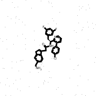 NCc1ccc2c(c1)CC=C2CC(=O)N[C@@H](Cc1cc(F)cc(F)c1)c1ncccc1-c1ccc(Cl)cc1